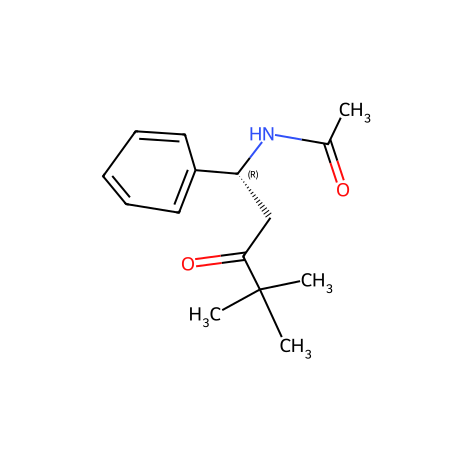 CC(=O)N[C@H](CC(=O)C(C)(C)C)c1ccccc1